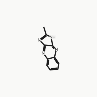 Cc1nc2nc3ccccc3nc2[nH]1